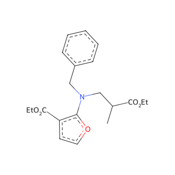 CCOC(=O)c1ccoc1N(Cc1ccccc1)CC(C)C(=O)OCC